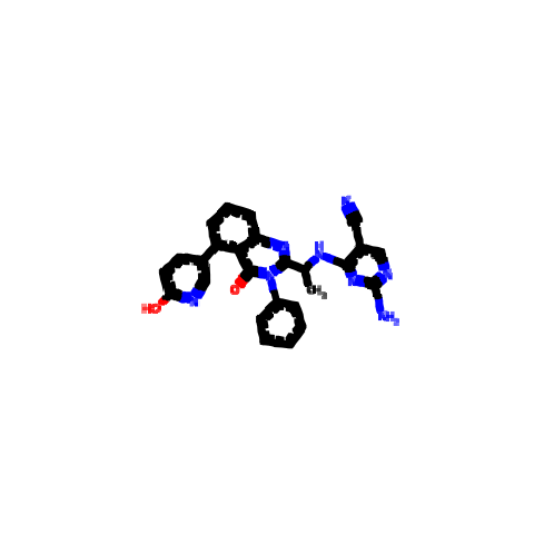 CC(Nc1nc(N)ncc1C#N)c1nc2cccc(-c3ccc(O)nc3)c2c(=O)n1-c1ccccc1